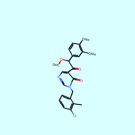 COc1ccc(C(OC=O)C(=O)c2cncn(Cc3cccc(Cl)c3C)c2=O)cc1OC